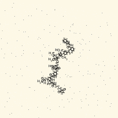 Cc1c(-c2ccc(N3CCc4cccc(C(=O)Nc5nc6cccnc6s5)c4C3)nc2C(=O)O)cnn1CC12CC3(C)CC(C)(C1)CC(OCCN(CP(=O)(O)O)C(=O)OCc1ccc(NC(=O)[C@H](CCCNC(N)=O)NC(=O)[C@@H](NC(=O)CCCCCN4C(=O)C=CC4=O)C(C)C)cc1)(C3)C2